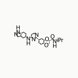 CC(C)NC(=O)C1COc2ccc(-c3nccc(Nc4ccc5[nH]ncc5c4)n3)cc2O1